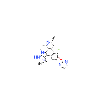 C#Cc1cc(C)c(C2=C(c3ccc(Oc4nccc(C)n4)c(F)c3)/C(=C(\C)C(C)C)C(=N)N2C)c(C)n1